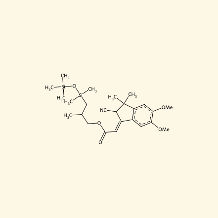 COc1cc2c(cc1OC)C(C)(C)C(C#N)C2=CC(=O)OCC(C)C[Si](C)(C)O[Si](C)(C)C